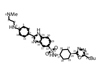 CNCCNc1ccc(-c2nc3cc(S(=O)(=O)N[C@H]4CC[C@H](c5nnc(C(C)(C)C)o5)CC4)ccc3[nH]2)cc1